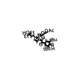 CCC(O)(CC)CCn1ccn(CC(=O)c2cc(C(C)(C)C)c(O)c(C(C)(C)C)c2)/c1=N\C(=O)OCOC(C)=O